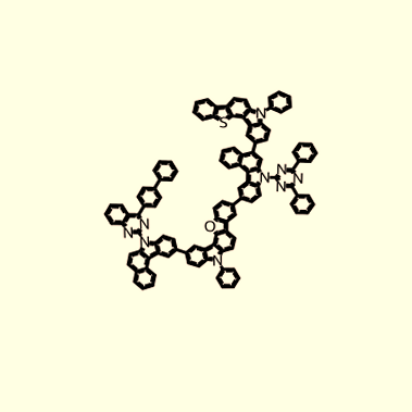 c1ccc(-c2ccc(-c3nc(-n4c5ccc(-c6ccc7c(c6)c6c8oc9ccc(-c%10ccc%11c(c%10)c%10c%12ccccc%12c(-c%12ccc%13c(c%12)c%12c%14sc%15ccccc%15c%14ccc%12n%13-c%12ccccc%12)cc%10n%11-c%10nc(-c%11ccccc%11)nc(-c%11ccccc%11)n%10)cc9c8ccc6n7-c6ccccc6)cc5c5c6ccccc6ccc54)nc4ccccc34)cc2)cc1